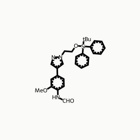 COc1cc(-c2cnn(CCO[Si](c3ccccc3)(c3ccccc3)C(C)(C)C)c2)ccc1NC=O